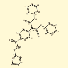 O=C(NCc1ccccn1)c1ccc(N(C(=O)Cc2ccccc2)C(=O)Cc2ccccc2)cc1